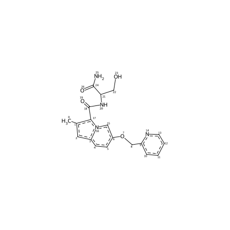 Cc1cc2ccc(OCc3ccccn3)cn2c1C(=O)NC(CO)C(N)=O